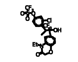 CCN1C(=O)COc2ccc(C(O)(C(C)c3ccc(OS(=O)(=O)C(F)(F)F)cc3Cl)C(F)(F)F)cc21